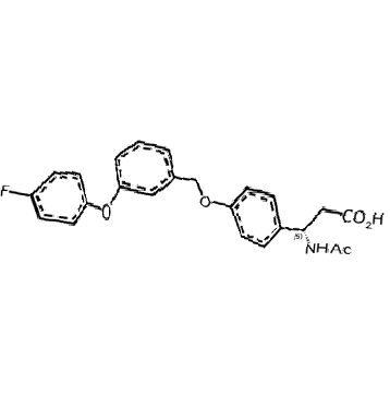 CC(=O)N[C@@H](CC(=O)O)c1ccc(OCc2cccc(Oc3ccc(F)cc3)c2)cc1